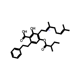 CCC(C)C(=O)Oc1cc(CCc2ccccc2)c(C(=O)O)c(O)c1C/C=C(\C)CCC=C(C)C